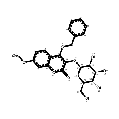 CCCCCCCCCCOc1ccc2c(OCc3ccccc3)c(O[C@@H]3O[C@H](CO)[C@@H](O)[C@H](O)[C@@H]3O)c(=O)oc2c1